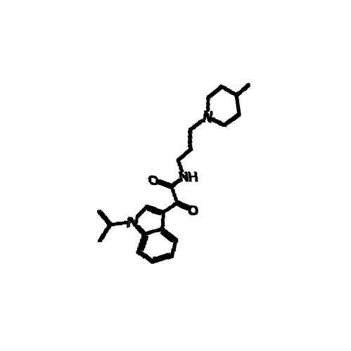 CC1CCN(CCCNC(=O)C(=O)c2cn(C(C)C)c3ccccc23)CC1